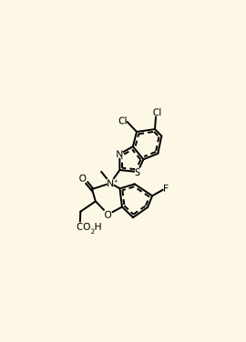 C[N+]1(c2nc3c(Cl)c(Cl)ccc3s2)C(=O)C(CC(=O)O)Oc2ccc(F)cc21